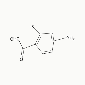 Nc1ccc(C(=O)C=O)c([S])c1